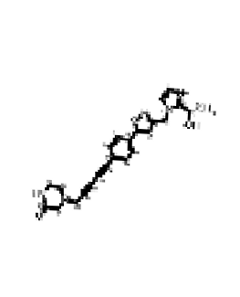 C[C@H](O)c1nccn1Cc1cc(-c2ccc(C#CC#CCN3CCNC(=O)C3)cc2)on1